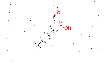 CC(C)(C)c1ccc(/C(=C/C(=O)O)CCC=O)cc1